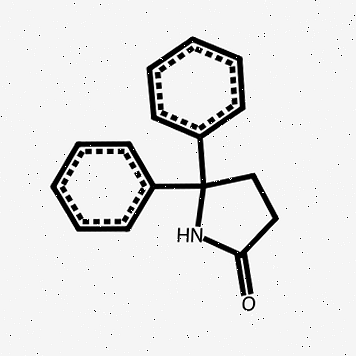 O=C1CCC(c2ccccc2)(c2ccccc2)N1